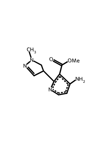 COC(=O)c1c(N)ccnc1C1C=NN(C)C1